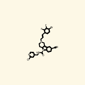 N#Cc1ccc2c(c1)c1c(n2C(=O)NCc2ccnc(Cl)c2)CCN(CC=Cc2ccc(Br)c(F)c2F)C1